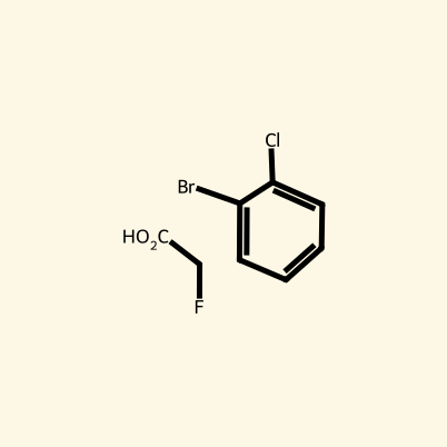 Clc1ccccc1Br.O=C(O)CF